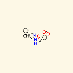 Cc1ccccc1-c1ccc(NC(=O)C2(c3ccc4c(c3)OCO4)CC2)nc1